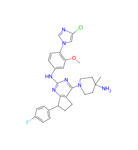 COc1cc(Nc2nc3c(c(N4CCC(C)(N)CC4)n2)CCC3c2ccc(F)cc2)ccc1-n1cnc(Cl)c1